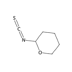 S=C=NC1CCCCO1